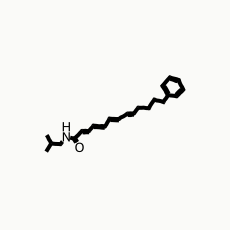 CC(C)CNC(=O)/C=C/C=C/C=CC=CCCCCc1ccccc1